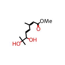 COC(=O)C=C(C)C=CC(O)C(C)(C)O